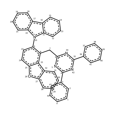 c1ccc(-c2nc(Cc3c(-n4c5ccccc5c5ccccc54)ccc4oc5cnccc5c34)nc(-c3ccccc3)n2)cc1